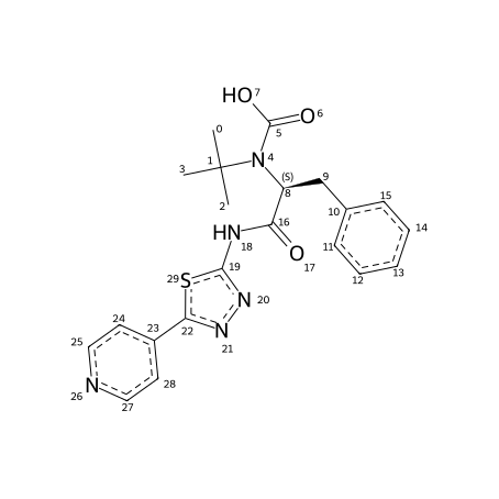 CC(C)(C)N(C(=O)O)[C@@H](Cc1ccccc1)C(=O)Nc1nnc(-c2ccncc2)s1